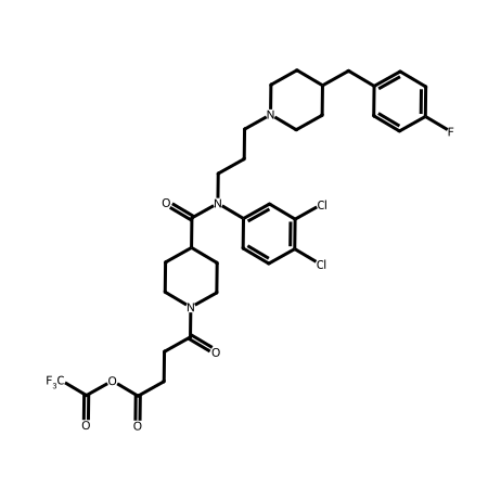 O=C(CCC(=O)N1CCC(C(=O)N(CCCN2CCC(Cc3ccc(F)cc3)CC2)c2ccc(Cl)c(Cl)c2)CC1)OC(=O)C(F)(F)F